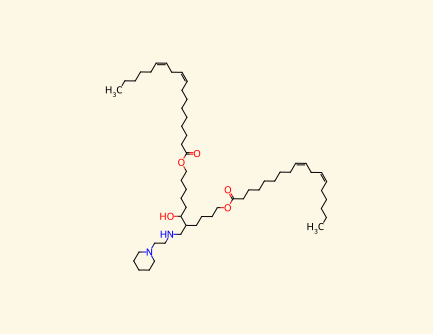 CCCCC/C=C\C/C=C\CCCCCCCC(=O)OCCCCCC(O)C(CCCCOC(=O)CCCCCCC/C=C\C/C=C\CCCCC)CNCCN1CCCCC1